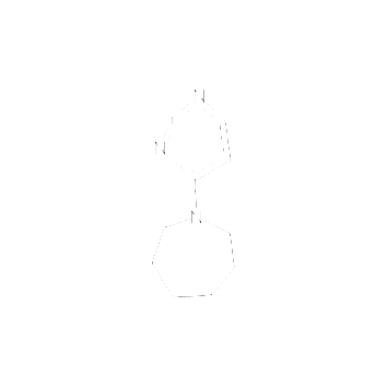 [c]1nccc(N2CCCCCC2)n1